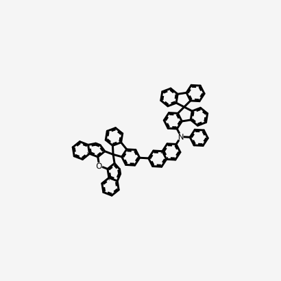 c1ccc(N(c2ccc3ccc(-c4ccc5c(c4)-c4ccccc4C54c5ccc6ccccc6c5Oc5c4ccc4ccccc54)cc3c2)c2cccc3c2-c2ccccc2C32c3ccccc3-c3ccccc32)cc1